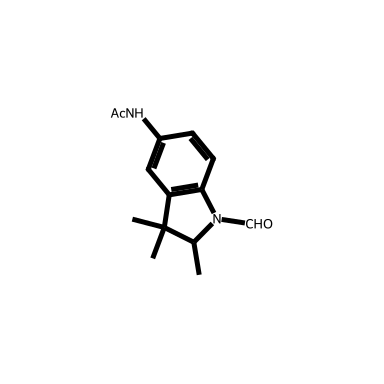 CC(=O)Nc1ccc2c(c1)C(C)(C)C(C)N2C=O